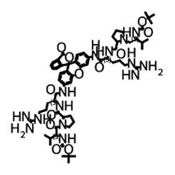 CC(C)[C@H](NC(=O)OC(C)(C)C)C(=O)N1CCCC1C(=O)N[C@@H](CCCNC(=N)N)C(=O)Nc1ccc2c(c1)Oc1cc(NC(=O)[C@H](CCCNC(=N)N)NC(=O)C3CCCN3C[C@@H](NC(=O)OC(C)(C)C)C(C)C)ccc1C21OC(=O)c2ccccc21